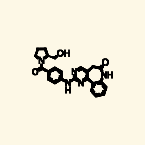 O=C1Cc2cnc(Nc3ccc(C(=O)N4CCC[C@H]4CO)cc3)nc2-c2ccccc2N1